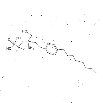 CCCCCCCCc1ccc(CCC(N)(CO)CC(F)(F)P(=O)(O)O)cc1